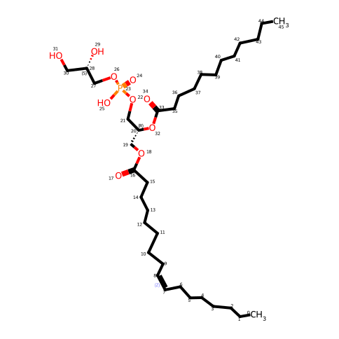 CCCCCCC/C=C\CCCCCCCC(=O)OC[C@H](COP(=O)(O)OC[C@@H](O)CO)OC(=O)CCCCCCCCCCC